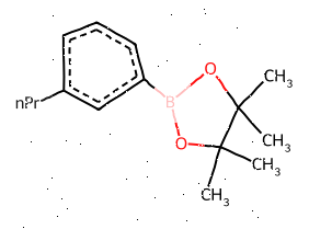 CCCc1cccc(B2OC(C)(C)C(C)(C)O2)c1